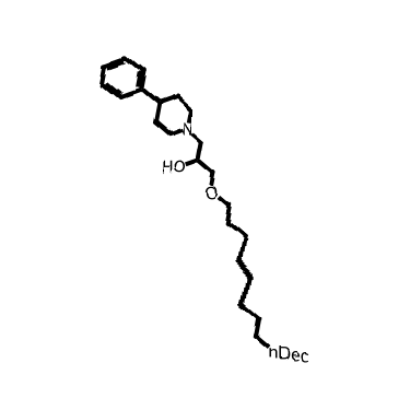 CCCCCCCCCCCCCCCCCCOCC(O)CN1CCC(c2ccccc2)CC1